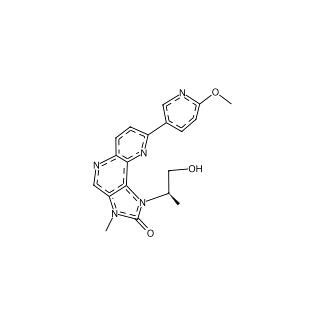 COc1ccc(-c2ccc3ncc4c(c3n2)n([C@H](C)CO)c(=O)n4C)cn1